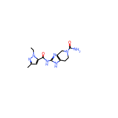 CCn1nc(C)cc1C(=O)Nc1nc2c([nH]1)CCN(C(N)=O)C2